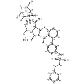 COc1c(CN2O[C@@H](CO)[C@H](C(C)C)[C@H]2C(=O)N[C@H]2C[C@H]3C[C@@H]([C@@H]2C)C3(C)C)cccc1-c1cccc(NS(=O)(=O)CCc2ccccc2)c1